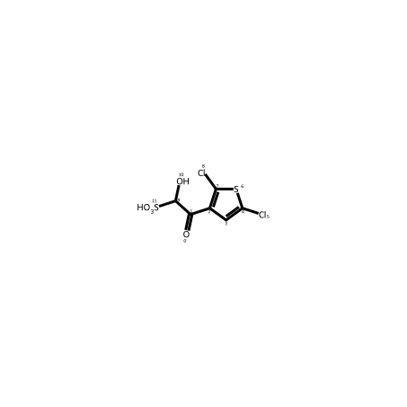 O=C(c1cc(Cl)sc1Cl)C(O)S(=O)(=O)O